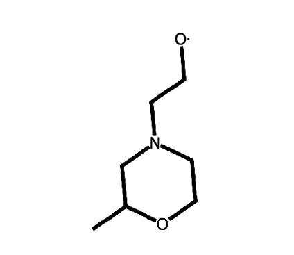 CC1CN(CC[O])CCO1